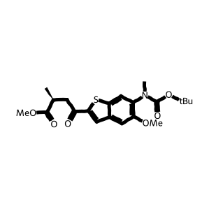 COC(=O)[C@@H](C)CC(=O)c1cc2cc(OC)c(N(C)C(=O)OC(C)(C)C)cc2s1